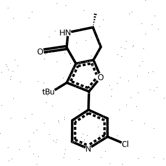 C[C@@H]1Cc2oc(-c3ccnc(Cl)c3)c(C(C)(C)C)c2C(=O)N1